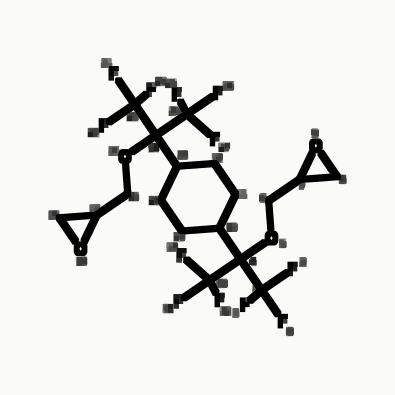 FC(F)(F)C(OCC1CO1)(C1CCC(C(OCC2CO2)(C(F)(F)F)C(F)(F)F)CC1)C(F)(F)F